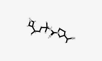 CC(S)C1CCN(C(=O)OC(C)(C)CCC(C)C2COC2)C1